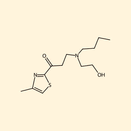 CCCCN(CCO)CCC(=O)c1nc(C)cs1